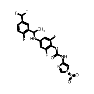 CC(Nc1cc(F)c(OC(=O)NC2=CS(=S(=O)=O)C=N2)c(F)c1)c1cc(C(F)F)ccc1F